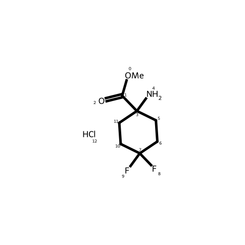 COC(=O)C1(N)CCC(F)(F)CC1.Cl